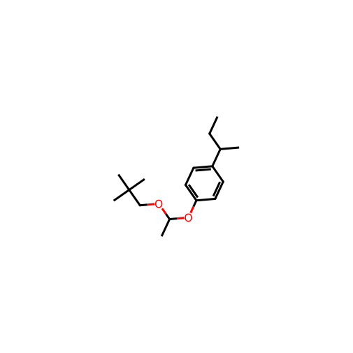 CCC(C)c1ccc(OC(C)OCC(C)(C)C)cc1